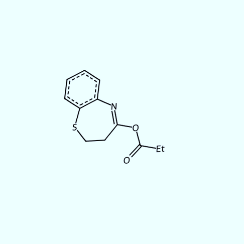 CCC(=O)OC1=Nc2ccccc2SCC1